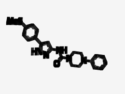 CSc1ccc(-c2cc(NC(=O)N3CCN(c4ccccc4)CC3)n[nH]2)cc1